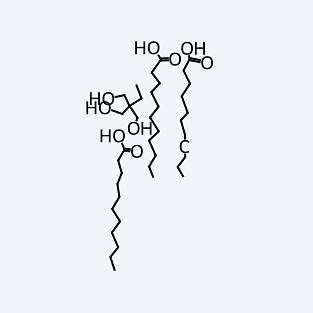 CCC(CO)(CO)CO.CCCCCCCCCCC(=O)O.CCCCCCCCCCC(=O)O.CCCCCCCCCCC(=O)O